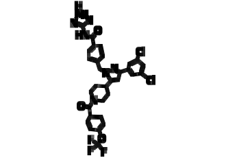 O=C(Nc1nn[nH]n1)c1ccc(Cn2nc(-c3cc(Cl)cc(Cl)c3)cc2C2CCN(C(=O)c3ccc(OC(F)(F)F)cc3)CC2)cc1